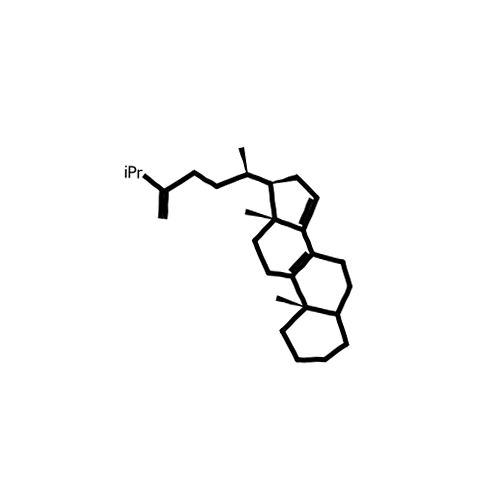 C=C(CC[C@@H](C)[C@H]1CC=C2C3=C(CC[C@@]21C)[C@@]1(C)CCCCC1CC3)C(C)C